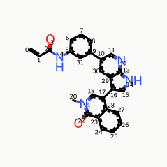 C=CC(=O)Nc1cccc(-c2cnc3[nH]cc(-c4cn(C)c(=O)c5ccccc45)c3c2)c1